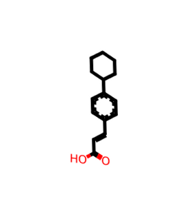 O=C(O)/C=C/c1ccc(C2CCCCC2)cc1